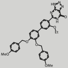 CCOc1cc(-c2ccc(OCc3ccc(OC)cc3)c(OCc3ccc(OC)cc3)c2)ccc1-c1nc2[nH]nnc2c(=O)[nH]1